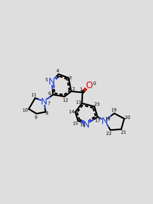 O=C(c1ccnc(N2CCCC2)c1)c1ccnc(N2CCCC2)c1